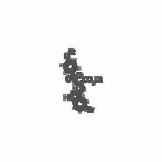 CCOC(=O)C(Cc1c[nH]c2ccc(Br)cc12)NS(=O)(=O)c1ccc(OCC)cc1